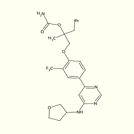 CC(C)CC(C)(COc1ccc(-c2cc(NC3CCOC3)ncn2)cc1C(F)(F)F)OC(N)=O